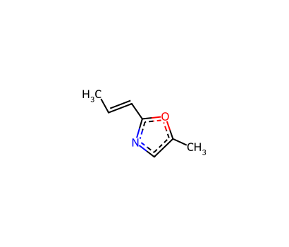 C/C=C/c1ncc(C)o1